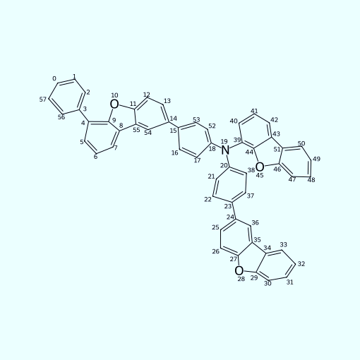 c1ccc(-c2cccc3c2oc2ccc(-c4ccc(N(c5ccc(-c6ccc7oc8ccccc8c7c6)cc5)c5cccc6c5oc5ccccc56)cc4)cc23)cc1